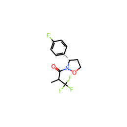 CC(C(=O)N1OCC[C@H]1c1ccc(F)cc1)C(F)(F)F